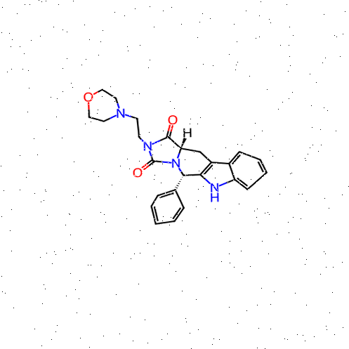 O=C1[C@@H]2Cc3c([nH]c4ccccc34)[C@H](c3ccccc3)N2C(=O)N1CCN1CCOCC1